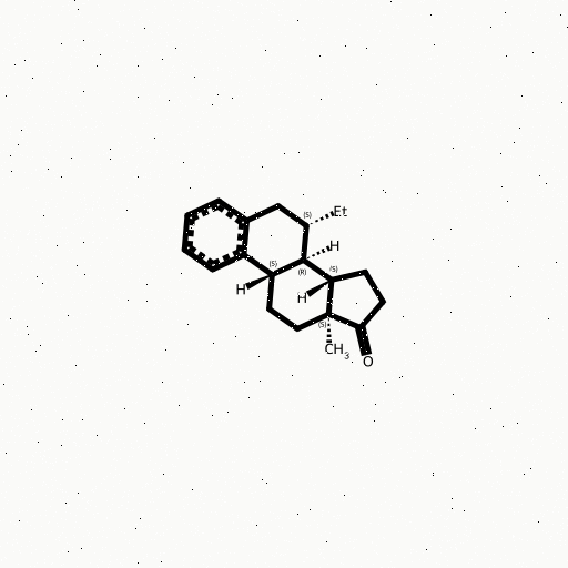 CC[C@H]1Cc2ccccc2[C@H]2CC[C@]3(C)C(=O)CC[C@H]3[C@H]12